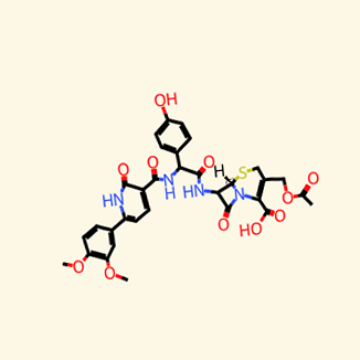 COc1ccc(-c2ccc(C(=O)NC(C(=O)NC3C(=O)N4C(C(=O)O)=C(COC(C)=O)CS[C@@H]34)c3ccc(O)cc3)c(=O)[nH]2)cc1OC